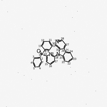 O=P(c1ccccc1)(c1ccccc1)c1cccc(-n2c3ccccc3c3ccncc32)n1